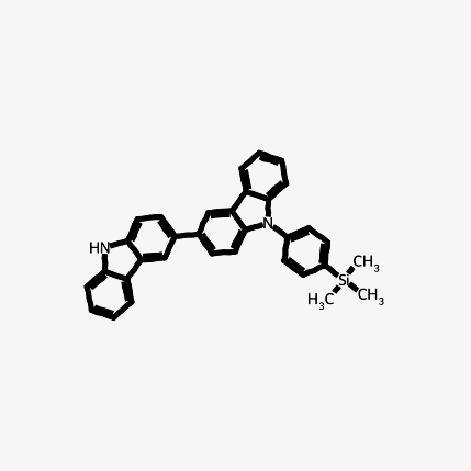 C[Si](C)(C)c1ccc(-n2c3ccccc3c3cc(-c4ccc5[nH]c6ccccc6c5c4)ccc32)cc1